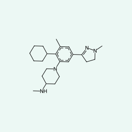 CNC1CCN(c2cc(C3=NN(C)CC3)cc(C)c2C2CCCCC2)CC1